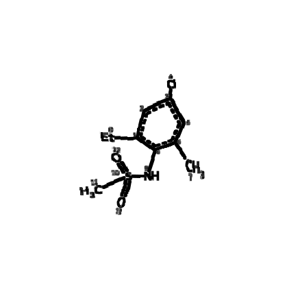 CCc1cc(Cl)cc(C)c1NS(C)(=O)=O